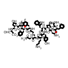 CCCC[C@@H](C(=O)N1C[C@H](O)C[C@@H]1C(=O)N[C@H](C=O)CC(=O)O)N(C)C(=O)[C@H](Cc1ccccc1)N(C)C(=O)[C@H](Cc1cc(F)c(F)c(F)c1)NC(=O)CSC[C@H](NC(=O)[C@H](CCCCN)NC(=O)[C@H](Cc1ccc(O)cc1)NC(=O)[C@H](Cc1c[nH]c2ccccc12)NC(=O)[C@H]1C[C@@H](O)CN1C(=O)[C@H](CC(N)=O)NC(=O)C(Cc1ccccc1)N(C)C(=O)[C@@H](N)C(C)C)C(=O)NCC(N)=O